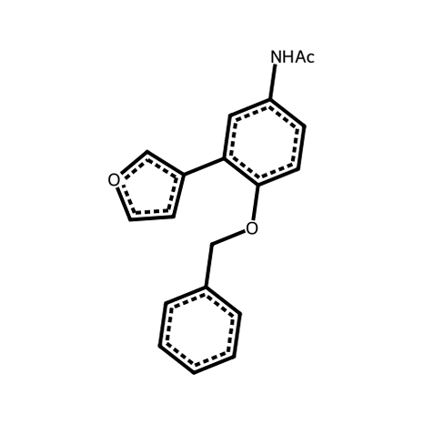 CC(=O)Nc1ccc(OCc2ccccc2)c(-c2ccoc2)c1